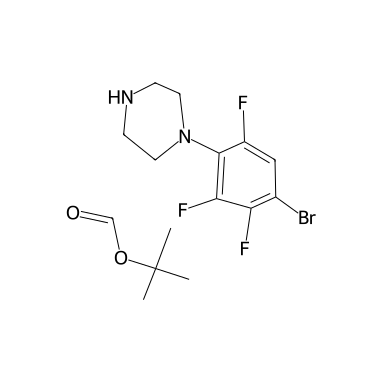 CC(C)(C)OC=O.Fc1cc(Br)c(F)c(F)c1N1CCNCC1